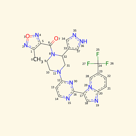 Cc1nonc1C(=O)N1CCN(c2ccnc(-c3cnc4ccc(C(F)(F)F)cn34)n2)CC1c1cn[nH]c1